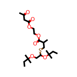 CCC(C)(C)OCC(OC(C)(C)CC)SCC(C)C(=O)OCCOC(=O)CC(C)=O